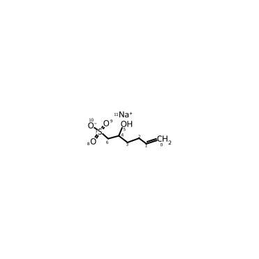 C=CCCC(O)CS(=O)(=O)[O-].[Na+]